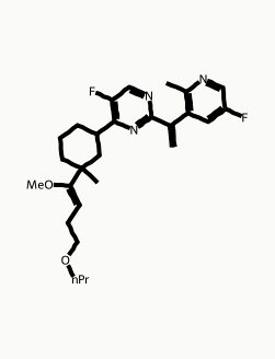 C=C(c1ncc(F)c(C2CCCC(C)(C(=CCCOCCC)OC)C2)n1)c1cc(F)cnc1C